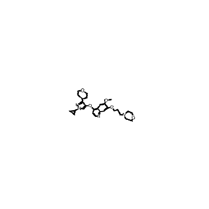 COc1cc2c(Oc3cn(C4CC4)nc3C3CCOCC3)ccnc2cc1OCCCN1CCOCC1